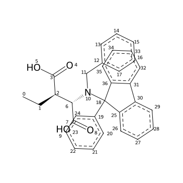 CC[C@@H](C(=O)O)[C@@H](C(=O)O)N(Cc1ccccc1)C1(c2ccccc2)c2ccccc2-c2ccccc21